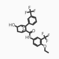 CCOc1ccc(NC(=O)C2C3CC(O)C(O3)C2c2cccc(C(F)(F)F)c2)cc1C(F)(F)F